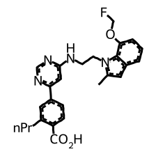 CCCc1cc(-c2cc(NCCn3c(C)cc4cccc(OCF)c43)ncn2)ccc1C(=O)O